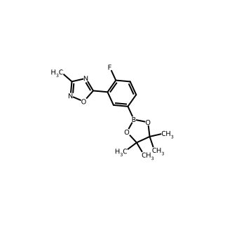 Cc1noc(-c2cc(B3OC(C)(C)C(C)(C)O3)ccc2F)n1